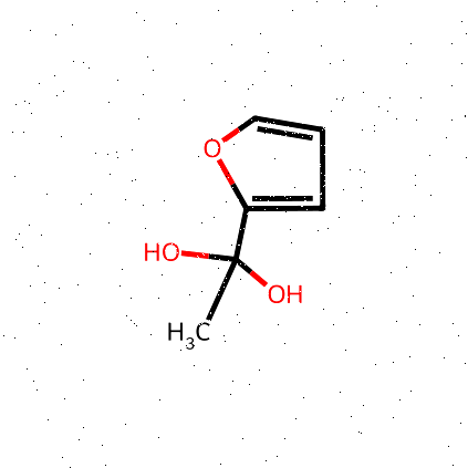 CC(O)(O)c1ccco1